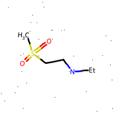 CC[N]CCS(C)(=O)=O